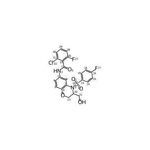 O=C(Nc1ccc2c(c1)N(S(=O)(=O)c1ccc(F)cc1)C(CO)CO2)c1c(F)cccc1Cl